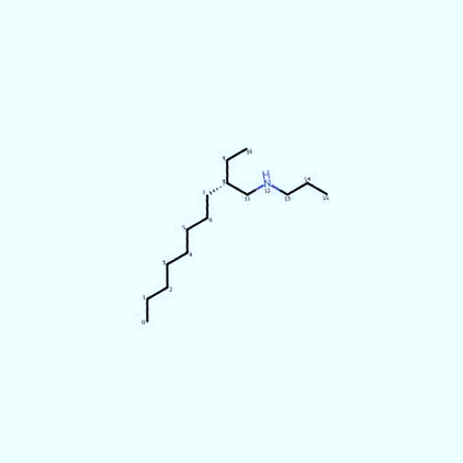 CCCCCCCC[C@H](CC)CNCCC